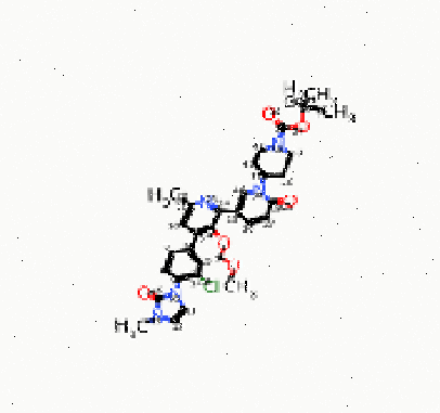 COCOc1c(-c2ccc(-n3ccn(C)c3=O)c(Cl)c2)cc(C)nc1-c1ccc(=O)n(C2CCN(C(=O)OC(C)(C)C)CC2)c1